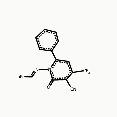 CC(C)C=Nn1c(-c2ccccc2)cc(C(F)(F)F)c(C#N)c1=O